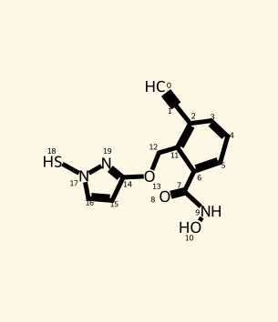 C#Cc1cccc(C(=O)NO)c1COc1ccn(S)n1